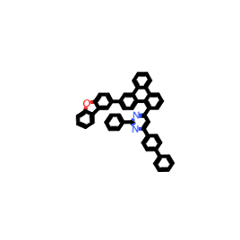 c1ccc(-c2ccc(-c3cc(-c4cccc5c6ccccc6c6cc(-c7ccc8oc9ccccc9c8c7)ccc6c45)nc(-c4ccccc4)n3)cc2)cc1